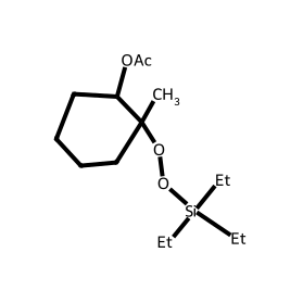 CC[Si](CC)(CC)OOC1(C)CCCCC1OC(C)=O